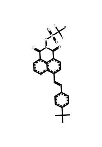 CC(C)(C)c1ccc(/C=C/c2ccc3c4c(cccc24)C(=O)N(OS(=O)(=O)C(F)(F)F)C3=O)cc1